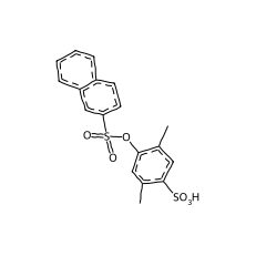 Cc1cc(S(=O)(=O)O)c(C)cc1OS(=O)(=O)c1ccc2ccccc2c1